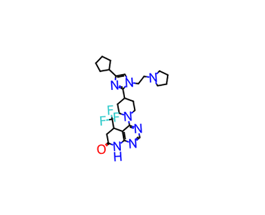 O=C1CC(C(F)(F)F)c2c(ncnc2N2CCC(c3nc(C4CCCC4)cn3CCN3CCCC3)CC2)N1